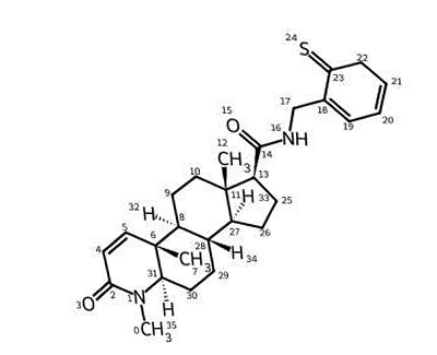 CN1C(=O)C=C[C@]2(C)[C@H]3CC[C@]4(C)[C@@H](C(=O)NCC5=CC=CCC5=S)CC[C@H]4[C@@H]3CC[C@@H]12